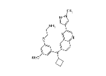 COc1cc(OCCN)cc(N(c2ccc3ncc(-c4cnn(C)c4)nc3c2)C2CCC2)c1